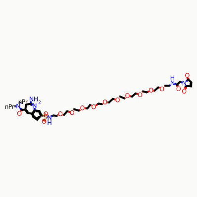 CCCN(CCC)C(=O)C1=Cc2ccc(S(=O)(=O)NCCOCCOCCOCCOCCOCCOCCOCCOCCOCCOCCNC(=O)CN3C(=O)C=CC3=O)cc2N=C(N)C1